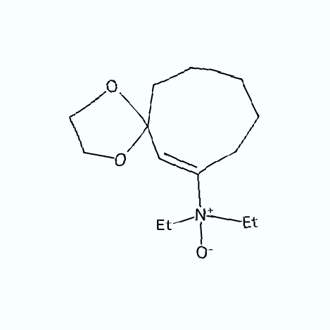 CC[N+]([O-])(CC)/C1=C/C2(CCCCC1)OCCO2